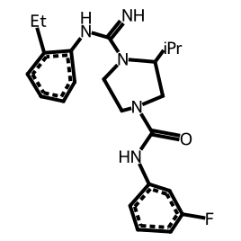 CCc1ccccc1NC(=N)N1CCN(C(=O)Nc2cccc(F)c2)CC1C(C)C